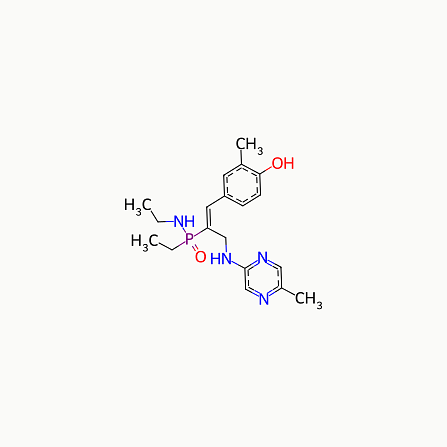 CCNP(=O)(CC)C(=Cc1ccc(O)c(C)c1)CNc1cnc(C)cn1